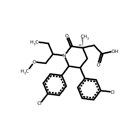 CCC(COC)N1C(=O)[C@@](C)(CC(=O)O)CC(c2cccc(Cl)c2)C1c1ccc(Cl)cc1